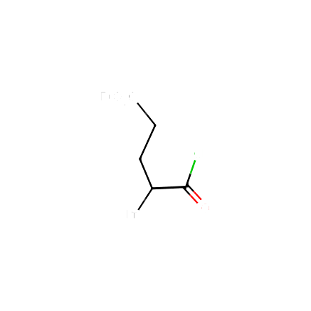 CCOC(=O)CCC(C(=O)Cl)C(C)C